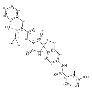 C[C@@H](NC(=O)O)C(=O)Nc1ccc2c(c1)CCC21NC(=O)N(CC(=O)N(Cc2ccccc2)[C@@H](C)C2CC2)C1=O